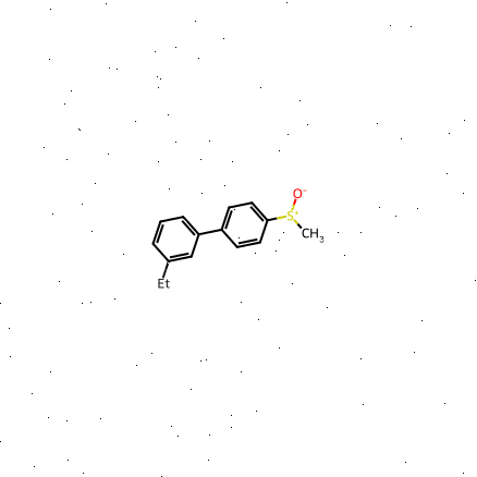 CCc1cccc(-c2ccc([S+](C)[O-])cc2)c1